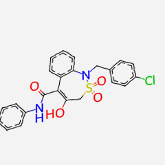 O=C(Nc1ccccc1)C1=C(O)CS(=O)(=O)N(Cc2ccc(Cl)cc2)c2ccccc21